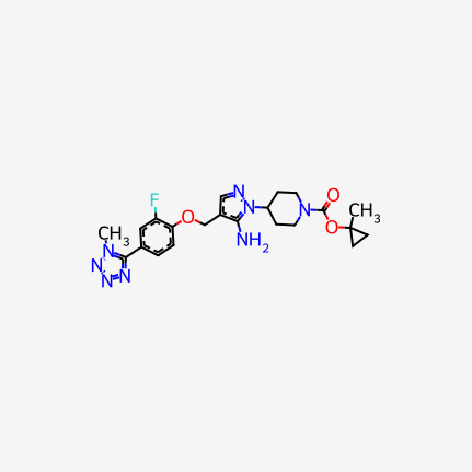 Cn1nnnc1-c1ccc(OCc2cnn(C3CCN(C(=O)OC4(C)CC4)CC3)c2N)c(F)c1